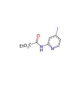 CCOC(=O)C(=O)Nc1cc(I)ccn1